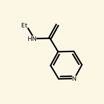 C=C(NCC)c1ccncc1